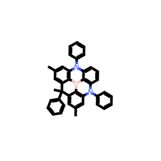 Cc1cc2c3c(c1)C(C)(c1ccccc1)c1cc(C)cc4c1B3c1c(cccc1N4c1ccccc1)N2c1ccccc1